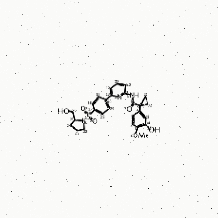 COc1ccc(C2(C(=O)Nc3cccc(-c4ccc(S(=O)(=O)N5CCCC5CO)cc4)n3)CC2)cc1O